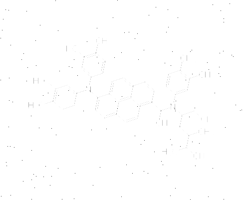 CCC(CC(C)C(C)C)N(c1ccc(C)c(C)c1)C(C)c1ccc2ccc3c(N(C4=CC(C)=C(C)CC4)c4ccc(C)c(C)c4)ccc4ccc1c2c43